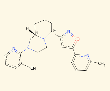 Cc1cccc(-c2cc([C@H]3CCC[C@H]4CN(c5ncccc5C#N)CCN43)no2)n1